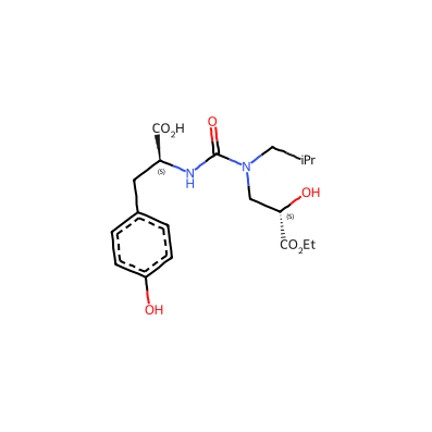 CCOC(=O)[C@@H](O)CN(CC(C)C)C(=O)N[C@@H](Cc1ccc(O)cc1)C(=O)O